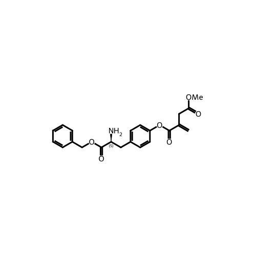 C=C(CC(=O)OC)C(=O)Oc1ccc(C[C@H](N)C(=O)OCc2ccccc2)cc1